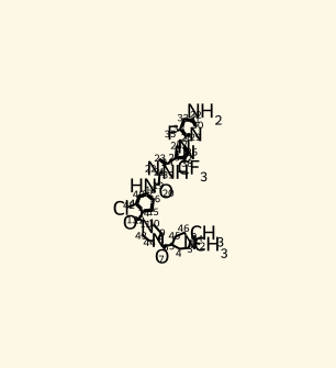 C[N+]1(C)CCC(C(=O)N2CCN(C(=O)c3ccc(NC(=O)c4ncc(-c5cn(-c6ncc(N)cc6F)nc5C(F)(F)F)[nH]4)cc3Cl)CC2)CC1